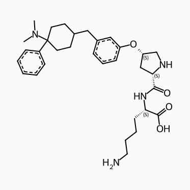 CN(C)C1(c2ccccc2)CCC(Cc2cccc(O[C@@H]3CN[C@H](C(=O)N[C@@H](CCCCN)C(=O)O)C3)c2)CC1